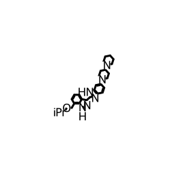 CC(C)OCc1cccc2c(-c3nc4ccc(N5CCC(N6CCCCC6)CC5)cc4[nH]3)n[nH]c12